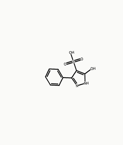 O=S(=O)(O)c1c(-c2ccccc2)n[nH]c1O